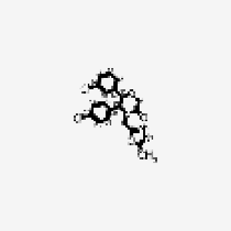 Cc1nnc(CN2C(=O)COC(c3cccc(Cl)c3)C2c2ccc(Cl)cc2)o1